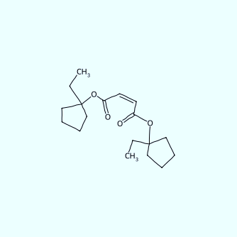 CCC1(OC(=O)/C=C\C(=O)OC2(CC)CCCC2)CCCC1